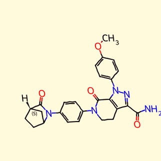 COc1ccc(-n2nc(C(N)=O)c3c2C(=O)N(c2ccc(N4C(=O)[C@H]5CCC4C5)cc2)CC3)cc1